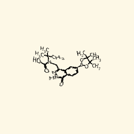 CC(C)(C)N(Cc1n[nH]c(=O)c2ccc(B3OC(C)(C)C(C)(C)O3)cc12)C(=O)O